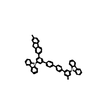 Cc1cc(-c2ccc(-c3ccc(-c4cc(-c5ccc6c(c5)Cc5cc(C)ccc5-6)cc(-n5c6ccccc6c6ccccc65)c4)cc3)cc2)cc(-n2c3ccccc3c3ccccc32)c1